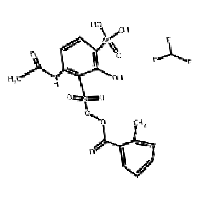 CC(=O)Nc1ccc([As](=O)(O)O)c(O)c1S(=O)(=O)OOC(=O)c1ccccc1C.FC(F)F